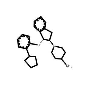 NC1CCN([C@@H]2Cc3ccccc3[C@H]2Oc2ccccc2C2CCCC2)CC1